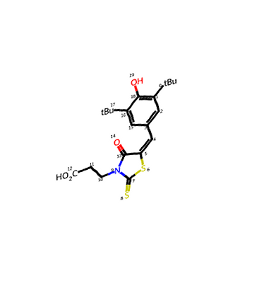 CC(C)(C)c1cc(C=C2SC(=S)N(CCC(=O)O)C2=O)cc(C(C)(C)C)c1O